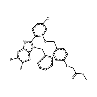 COC(=O)COc1ccc(COc2cc(Cl)ccc2-c2nc3cc(F)c(F)cc3n2Cc2ccccc2)cc1